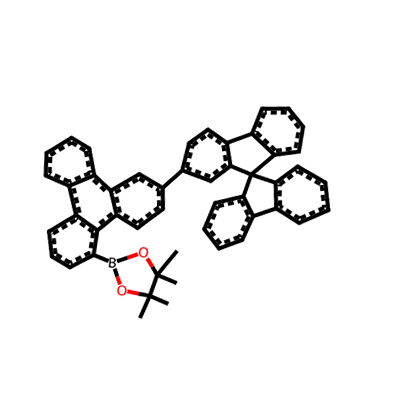 CC1(C)OB(c2cccc3c4ccccc4c4cc(-c5ccc6c(c5)C5(c7ccccc7-c7ccccc75)c5ccccc5-6)ccc4c23)OC1(C)C